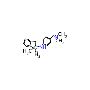 CN(C)Cc1ccc(NC2Cc3ccccc3C2(C)C)cc1